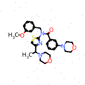 COc1cccc(CN(C(=O)c2cccc(N3CCOCC3)c2)c2nc(C(C)N3CCOCC3)cs2)c1